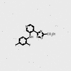 CCOC(=O)c1nc(-c2ccncc2Nc2ccc(I)cc2F)no1